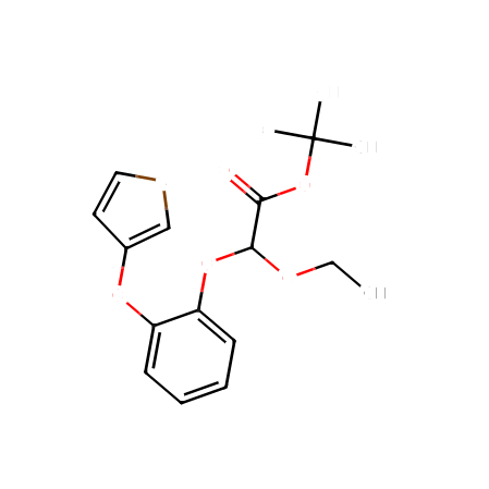 CCOC(Oc1ccccc1Oc1ccsc1)C(=O)OC(C)(C)C